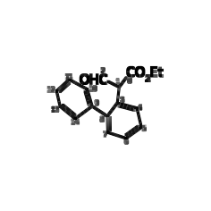 CCOC(=O)C(C=O)c1ccccc1-c1ccccc1